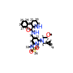 COCCN(C[C@H]1C[C@@H]1C)c1cc(CNC(=O)[C@@H]2NCCC[C@@H]2c2ccccc2)cc(N(C)S(C)(=O)=O)n1